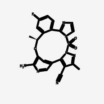 Cc1nn2c(c1C#N)-c1cnc(N)c(c1)O[C@H](C)c1cc(F)ccc1-c1nccn1S2(=O)=O